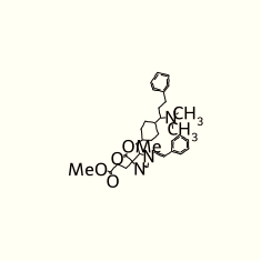 COC(=O)CCC1(C(=O)OC)N=CN(C=Cc2ccccc2)C1CC1CCC(C(CCc2ccccc2)N(C)C)CC1